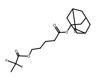 CC(F)(F)C(=O)OCCCCC(=O)OC12CC3CC(C1)C(=O)C(C3)C2